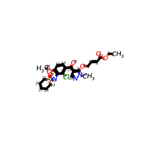 CCOC(=O)/C=C/COc1c(C(=O)c2ccc(OC)c(N=S3(=O)CCCCC3)c2Cl)cnn1C